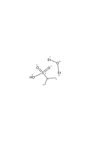 CC(C)S(=O)(=O)O.CCOCC